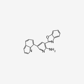 Nc1ncc(-c2cccc3cccnc23)cc1-c1nc2ccccc2o1